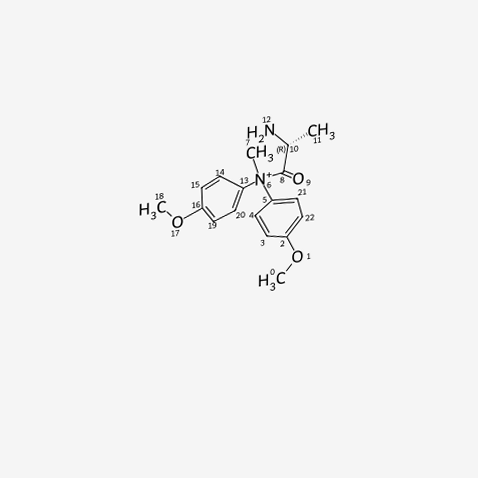 COc1ccc([N+](C)(C(=O)[C@@H](C)N)c2ccc(OC)cc2)cc1